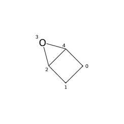 C1CC2OC12